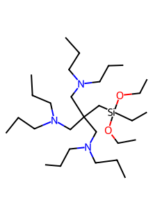 CCCN(CCC)CC(CN(CCC)CCC)(CN(CCC)CCC)C[Si](CC)(OCC)OCC